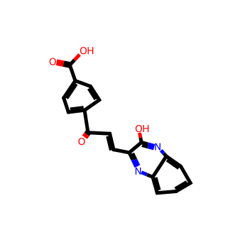 O=C(O)c1ccc(C(=O)C=Cc2nc3ccccc3nc2O)cc1